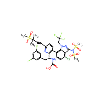 CC(C)(C#Cc1ccc(-c2ccc(Cl)c3c(N(S(C)(=O)=O)S(C)(=O)=O)nn(CC(F)(F)F)c23)c([C@H](Cc2cc(F)cc(F)c2)NC(=O)O)n1)S(C)(=O)=O